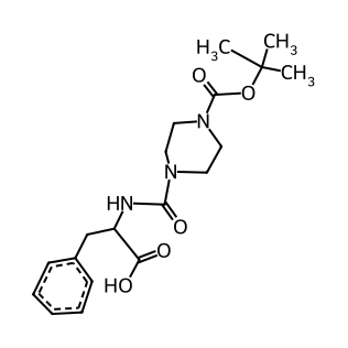 CC(C)(C)OC(=O)N1CCN(C(=O)NC(Cc2ccccc2)C(=O)O)CC1